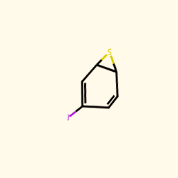 IC1=CC2SC2C=C1